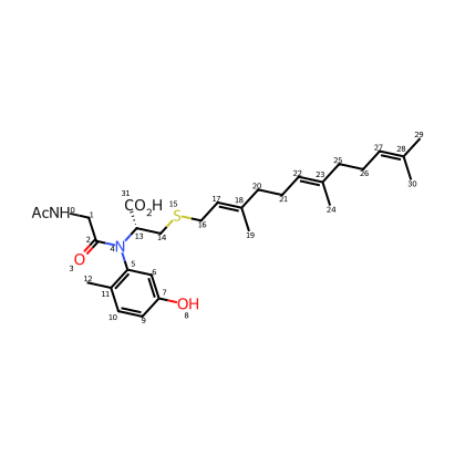 CC(=O)NCC(=O)N(c1cc(O)ccc1C)[C@@H](CSC/C=C(\C)CC/C=C(\C)CCC=C(C)C)C(=O)O